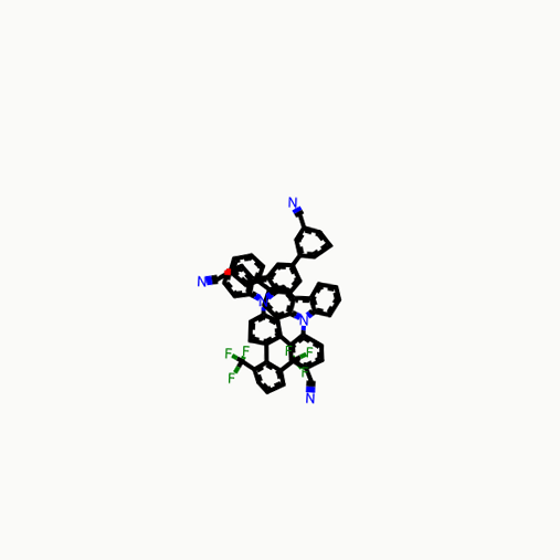 N#Cc1cccc(-c2ccc3c(c2)c2ccccc2n3-c2ccc(-c3c(C(F)(F)F)cccc3C(F)(F)F)c(-c3cc(C#N)ccc3-n3c4ccccc4c4cc(-c5cccc(C#N)c5)ccc43)c2)c1